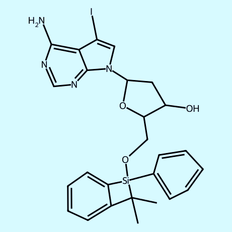 CC1(C)c2ccccc2[Si]1(OCC1OC(n2cc(I)c3c(N)ncnc32)CC1O)c1ccccc1